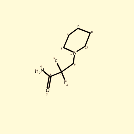 NC(=O)C(F)(F)CN1CCCCC1